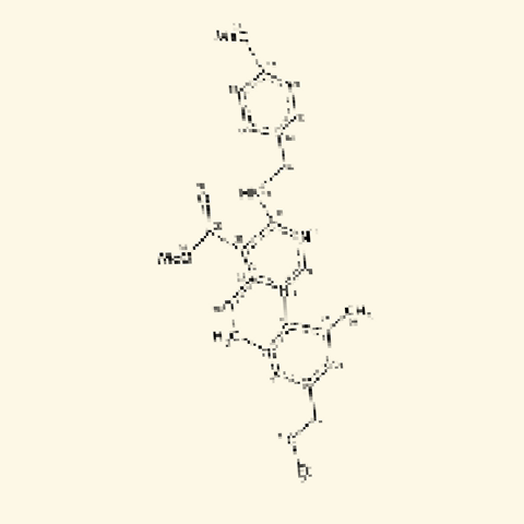 CCOCc1cc(C)c(-n2cnc(NCc3ccc(OC)cc3)c(C(=O)OC)c2=O)c(C)c1